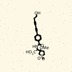 CO[C@@]1([C@H](NC(=O)c2ccc(C#CC#CCCO)cc2)C(=O)O)CCS(=O)(=O)C1